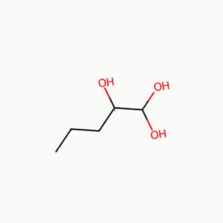 CCC[C](O)C(O)O